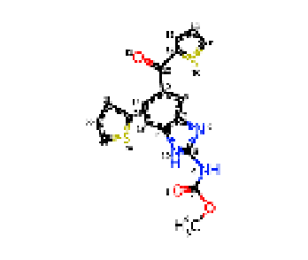 COC(=O)Nc1nc2cc(C(=O)c3cccs3)ccc2[nH]1.c1ccsc1